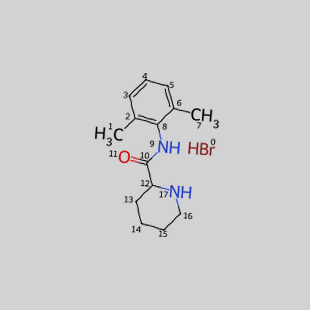 Br.Cc1cccc(C)c1NC(=O)C1CCCCN1